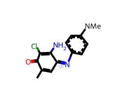 CNc1ccc(/N=C2/C=C(C)C(=O)C(Cl)=C2N)cc1